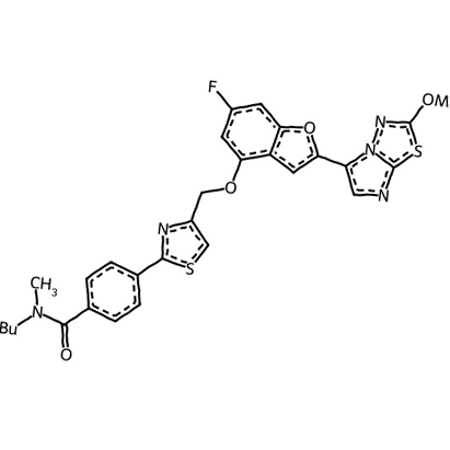 COc1nn2c(-c3cc4c(OCc5csc(-c6ccc(C(=O)N(C)C(C)(C)C)cc6)n5)cc(F)cc4o3)cnc2s1